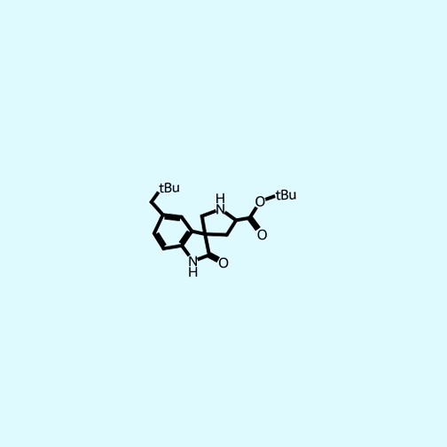 CC(C)(C)Cc1ccc2c(c1)C1(CNC(C(=O)OC(C)(C)C)C1)C(=O)N2